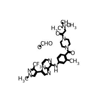 Cc1cc(Nc2nccn3c(-c4cn(C)nc4C(F)(F)F)cnc23)ccc1C(=O)N1CCN(C(=O)C[N+](C)(C)C)CC1.O=C[O-]